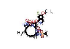 CCOc1cc2ccnc(O[C@@H]3C[C@H]4C(=O)N[C@]5(C(=O)NS(=O)(=O)C6CC6)C[C@H]5C=CCC[C@@H](C)C[C@@H](CC)[C@H](NC(=O)O)C(=O)N4C3)c2cc1F